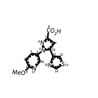 COc1ccc(-n2nc(C(=O)O)cc2-c2cscn2)cn1